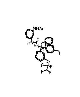 CC(=O)Nc1cccc(NC(=O)N[C@@](Cc2ccccc2)(c2cccc(OC(F)(F)C(F)F)c2)c2ccc(CI)cn2)c1